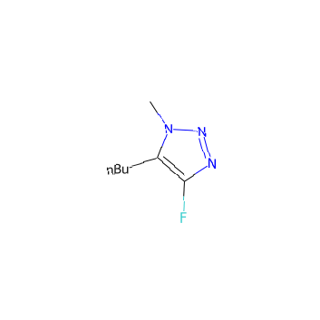 CCCCc1c(F)nnn1C